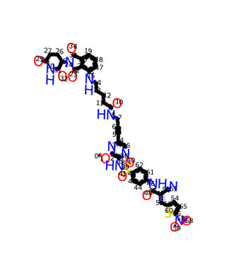 COc1nc(C#CCNC(=O)CCCCNc2cccc3c2C(=O)N(C2CCC(=O)NC2=O)C3=O)cnc1NS(=O)(=O)c1ccc(NC(=O)/C(C#N)=C/c2ccc([N+](=O)[O-])s2)cc1